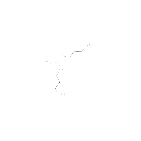 COCCCOB(O)OCCCOC